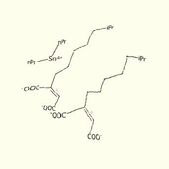 CC(C)CCCCC/C(=C/C(=O)[O-])C(=O)[O-].CC(C)CCCCC/C(=C/C(=O)[O-])C(=O)[O-].CC[CH2][Sn+4][CH2]CC